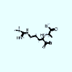 CNC(=N)NCCCC(NC(C)C(=O)Br)C(=O)Br